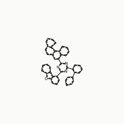 c1ccc(-c2ccccc2-c2nc(-c3cc4ccc5ccccc5c4c4ccccc34)nc(-c3cccc4oc5ccccc5c34)n2)cc1